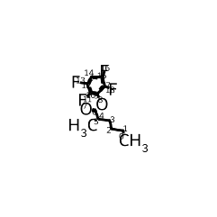 CCCCC(C)C(=O)Oc1c(F)c(F)cc(F)c1F